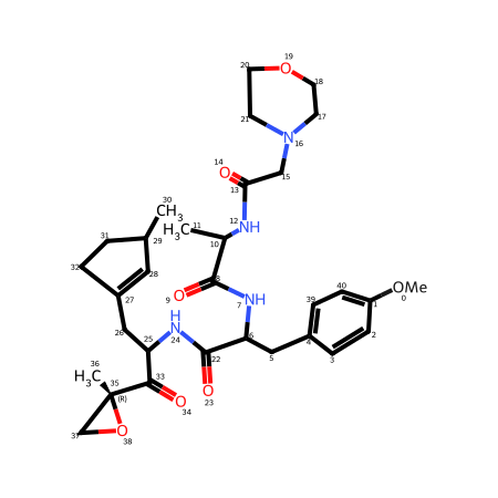 COc1ccc(CC(NC(=O)C(C)NC(=O)CN2CCOCC2)C(=O)NC(CC2=CC(C)CC2)C(=O)[C@@]2(C)CO2)cc1